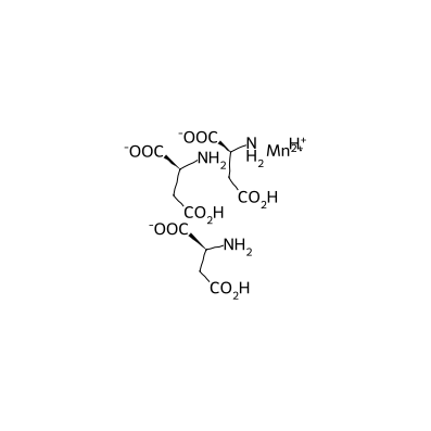 N[C@@H](CC(=O)O)C(=O)[O-].N[C@@H](CC(=O)O)C(=O)[O-].N[C@@H](CC(=O)O)C(=O)[O-].[H+].[Mn+2]